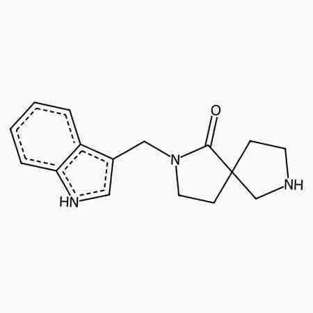 O=C1N(Cc2c[nH]c3ccccc23)CCC12CCNC2